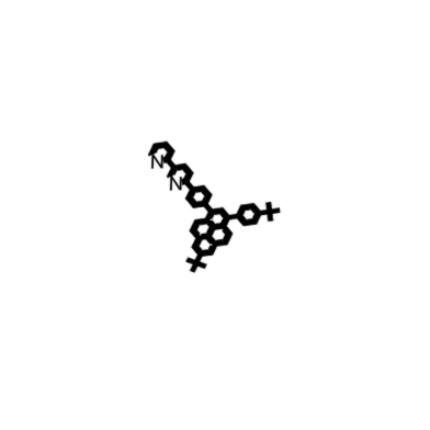 CC(C)(C)c1ccc(-c2cc(-c3ccc(-c4ccc(-c5ccccn5)cn4)cc3)c3ccc4cc(C(C)(C)C)cc5ccc2c3c45)cc1